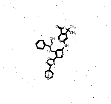 CC1(C)OC(=O)c2cnc(Nc3cc(N[C@H](CO)c4ccccc4)c(-c4nc(C56CCN(CC5)CC6)no4)cn3)cc21